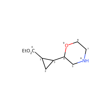 CCOC(=O)C1CC1C1CNCCO1